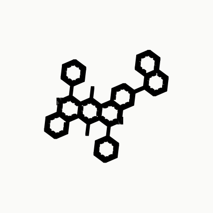 Cc1c2c(-c3ccccc3)nc3cc(-c4cccc5ccccc45)ccc3c2c(C)c2c(-c3ccccc3)nc3ccccc3c12